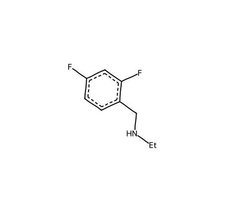 CCNCc1ccc(F)cc1F